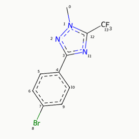 Cn1nc(-c2ccc(Br)cc2)nc1C(F)(F)F